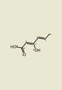 CC=CC(O)=CC(=O)O